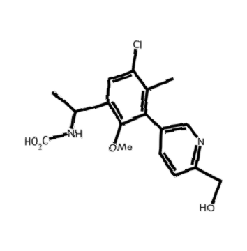 COc1c(C(C)NC(=O)O)cc(Cl)c(C)c1-c1ccc(CO)nc1